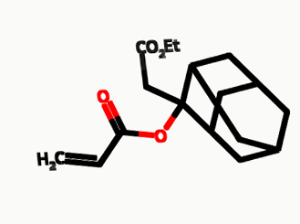 C=CC(=O)OC1(CC(=O)OCC)C2CC3CC(C2)CC1C3